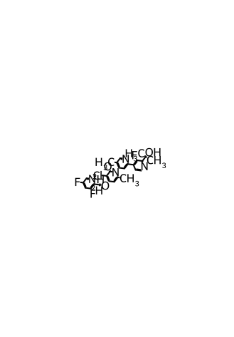 [2H]C([2H])(Oc1cc(C)n(-c2cc(-c3ccnc(C(C)(C)O)c3F)ncc2C)c(=O)c1Cl)c1ncc(F)cc1F